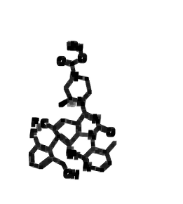 Cc1ccnc(C(C)C)c1-n1c(=O)nc(N2CCN(C(=O)OC(C)(C)C)C[C@@H]2C)c2cc(C(F)(F)F)c(-c3c(F)cccc3CO)c(F)c21